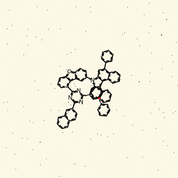 c1ccc(-c2ccc3c(c2)c2c4ccccc4c(-c4ccccc4)cc2n3-c2ccc3oc4cccc(-c5nc(-c6ccc7ccccc7c6)nc(-c6ccc7ccccc7c6)n5)c4c3c2)cc1